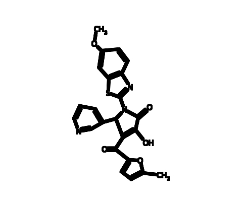 COc1ccc2nc(N3C(=O)C(O)=C(C(=O)c4ccc(C)o4)C3c3cccnc3)sc2c1